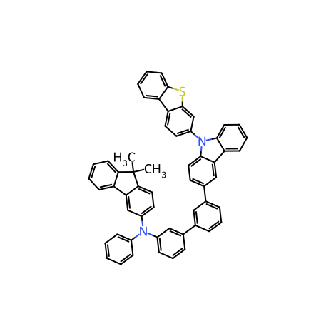 CC1(C)c2ccccc2-c2cc(N(c3ccccc3)c3cccc(-c4cccc(-c5ccc6c(c5)c5ccccc5n6-c5ccc6c(c5)sc5ccccc56)c4)c3)ccc21